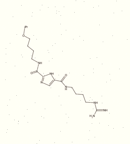 CC(C)OCCCCNC(=O)c1ncc(C(=O)NCCCCNC(=N)N)[nH]1